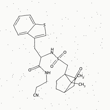 CC1(C)C2CCC1(CS(=O)(=O)NC(Cc1csc3ccccc13)C(=O)NCCC#N)C(=O)C2